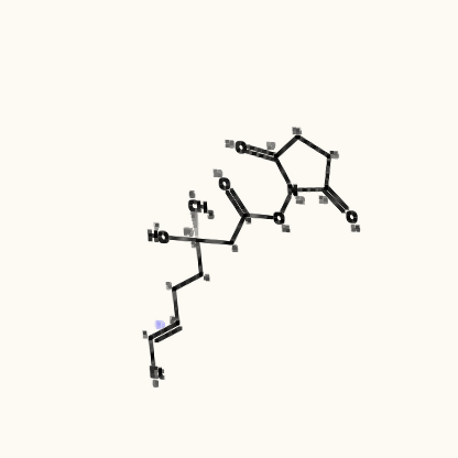 CC/C=C/CC[C@@](C)(O)CC(=O)ON1C(=O)CCC1=O